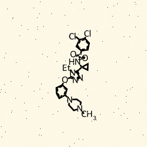 CCn1c(Oc2cccc(N3CCN(C)CC3)c2)nnc1C1(NS(=O)(=O)c2ccc(Cl)c(Cl)c2)CC1